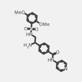 COc1ccc(OC)c(S(=O)(=O)NCC(N)c2ccc(C(=O)Nc3ccncc3)cc2)c1